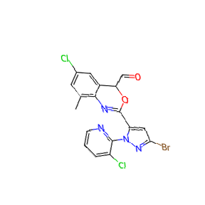 Cc1cc(Cl)cc2c1N=C(c1cc(Br)nn1-c1ncccc1Cl)OC2C=O